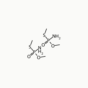 COP(N)(=O)SC.COP(N)(=O)SC